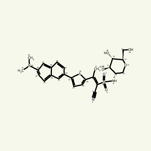 C/C(=C(/C#N)S(=O)(=O)N[C@H]1CO[C@H](CO)[C@@H](O)[C@@H]1O)c1ccc(-c2ccc3cc(N(C)C)ccc3c2)s1